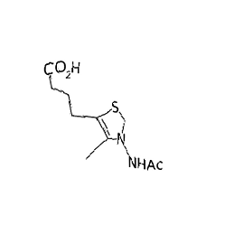 CC(=O)NN1CSC(CCCC(=O)O)=C1C